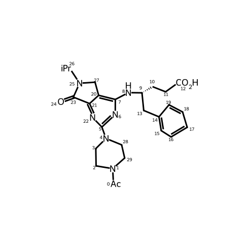 CC(=O)N1CCN(c2nc(N[C@H](CCC(=O)O)Cc3ccccc3)c3c(n2)C(=O)N(C(C)C)C3)CC1